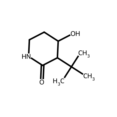 CC(C)(C)C1C(=O)NCCC1O